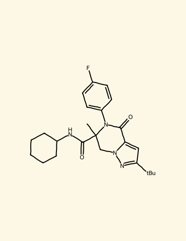 CC(C)(C)c1cc2n(n1)CC(C)(C(=O)NC1CCCCC1)N(c1ccc(F)cc1)C2=O